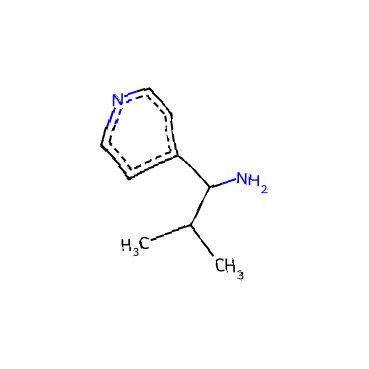 CC(C)C(N)c1ccncc1